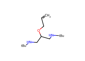 C=CCOC(CNC(C)(C)C)CNC(C)(C)C